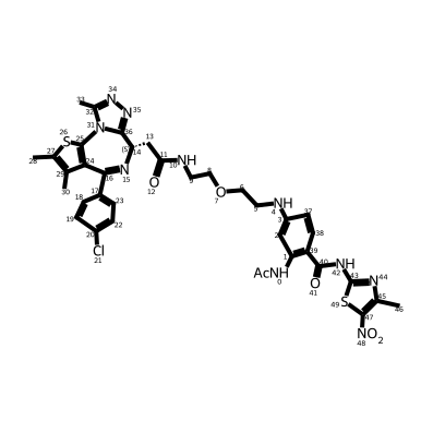 CC(=O)Nc1cc(NCCOCCNC(=O)C[C@@H]2N=C(c3ccc(Cl)cc3)c3c(sc(C)c3C)-n3c(C)nnc32)ccc1C(=O)Nc1nc(C)c([N+](=O)[O-])s1